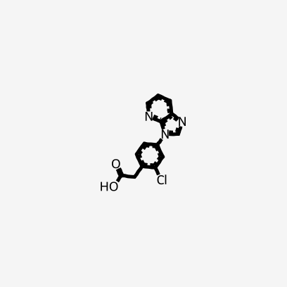 O=C(O)Cc1ccc(-n2cnc3cccnc32)cc1Cl